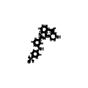 CP(C)(=O)c1ccc(Nc2cc(-c3nc(N4CCNCC4)c4c(C5CC5)cncc4n3)ccn2)cc1